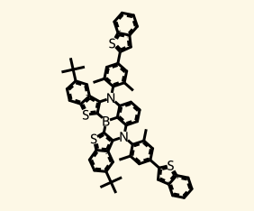 Cc1cc(-c2cc3ccccc3s2)cc(C)c1N1c2cccc3c2B(c2sc4ccc(C(C)(C)C)cc4c21)c1sc2ccc(C(C)(C)C)cc2c1N3c1c(C)cc(-c2cc3ccccc3s2)cc1C